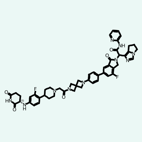 O=C1CC[C@H](Nc2ccc(C3CCN(CC(=O)N4CC5(C4)CN(c4ccc(-c6cc(F)c7c(c6)C(=O)N(C(C(=O)Nc6ccccn6)c6ncn8c6CCC8)C7)cc4)C5)CC3)c(F)c2)C(=O)N1